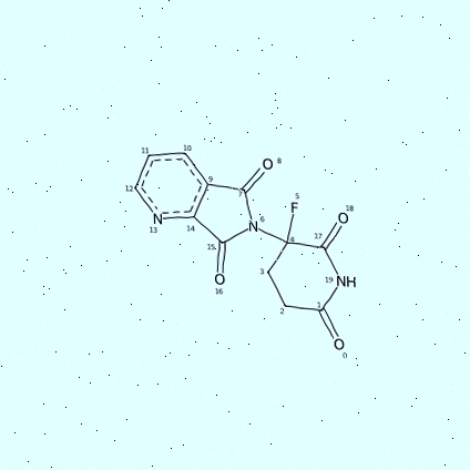 O=C1CCC(F)(N2C(=O)c3cccnc3C2=O)C(=O)N1